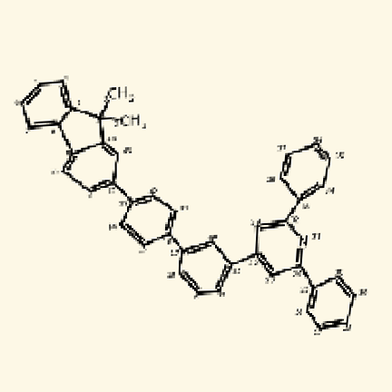 CC1(C)c2ccccc2-c2ccc(-c3ccc(-c4cccc(-c5cc(-c6ccccc6)nc(-c6ccccc6)c5)c4)cc3)cc21